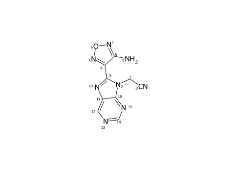 N#CCn1c(-c2nonc2N)nc2cncnc21